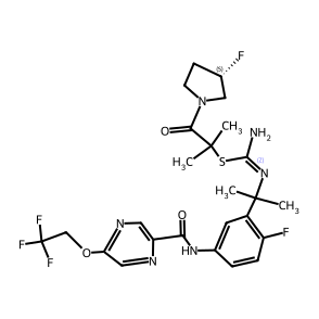 CC(C)(S/C(N)=N\C(C)(C)c1cc(NC(=O)c2cnc(OCC(F)(F)F)cn2)ccc1F)C(=O)N1CC[C@H](F)C1